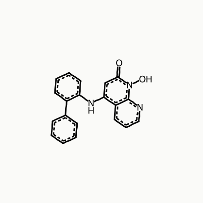 O=c1cc(Nc2ccccc2-c2ccccc2)c2cccnc2n1O